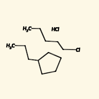 CCCC1CCCC1.CCCCCCl.Cl